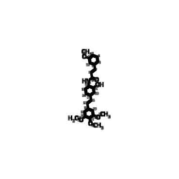 COc1cccc(/C=C/C(=O)Nc2ccc(C=Cc3cc(OC)c(OC)c(OC)c3)cc2O)c1